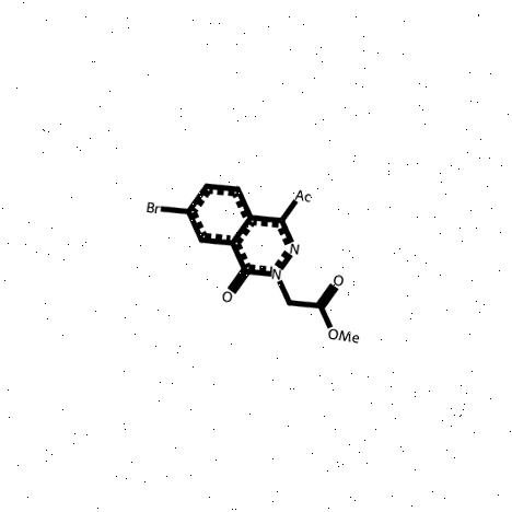 COC(=O)Cn1nc(C(C)=O)c2ccc(Br)cc2c1=O